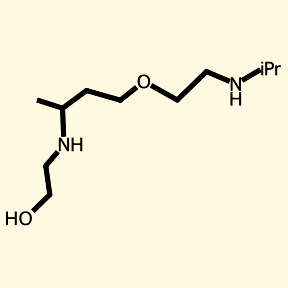 CC(C)NCCOCCC(C)NCCO